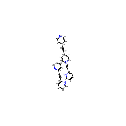 C#Cc1ccccn1.C(#Cc1ccccn1)c1ccccn1.C(#Cc1ccncc1)c1ccncc1